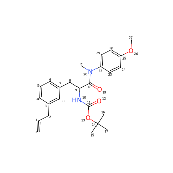 C=CCc1cccc(CC(NC(=O)OC(C)(C)C)C(=O)N(C)c2ccc(OC)cc2)c1